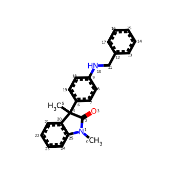 CN1C(=O)C(C)(c2ccc(NCc3ccccc3)cc2)c2ccccc21